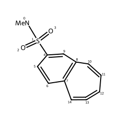 CNS(=O)(=O)c1ccc2c(c1)C=CC=C=C2